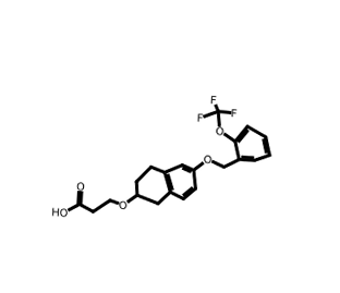 O=C(O)CCOC1CCc2cc(OCc3ccccc3OC(F)(F)F)ccc2C1